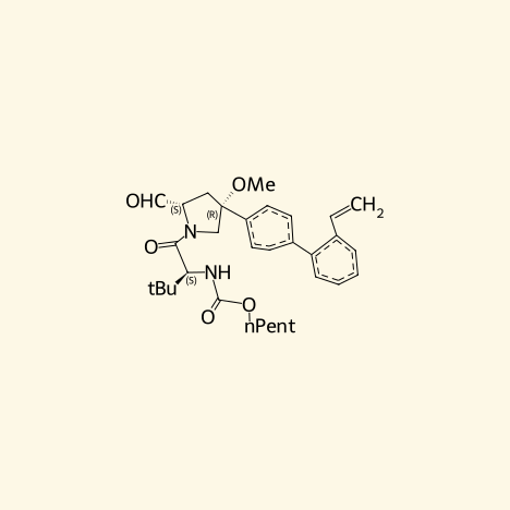 C=Cc1ccccc1-c1ccc([C@]2(OC)C[C@@H](C=O)N(C(=O)[C@@H](NC(=O)OCCCCC)C(C)(C)C)C2)cc1